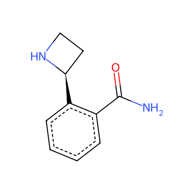 NC(=O)c1ccccc1[C@@H]1CCN1